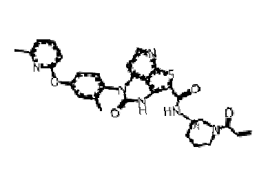 C=CC(=O)N1CCC[C@@H](NC(=O)c2sc3nccc4c3c2NC(=O)N4c2ccc(Oc3cccc(C)n3)cc2C)C1